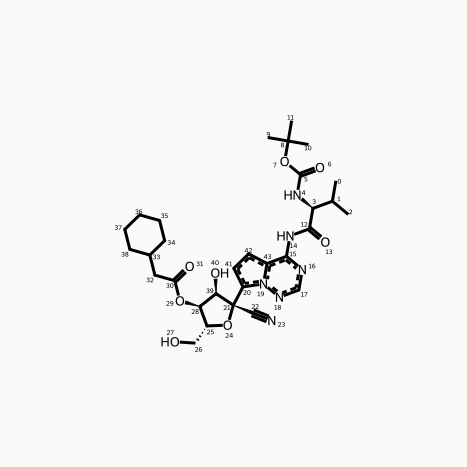 CC(C)[C@H](NC(=O)OC(C)(C)C)C(=O)Nc1ncnn2c([C@]3(C#N)O[C@H](CO)[C@@H](OC(=O)CC4CCCCC4)[C@H]3O)ccc12